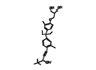 CCC(CC)(c1ccc(C#CC(O)C(C)(C)C)c(C)c1)c1ccc(OCC(CO)CO)c(C)c1